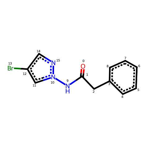 O=C(Cc1ccccc1)Nn1cc(Br)cn1